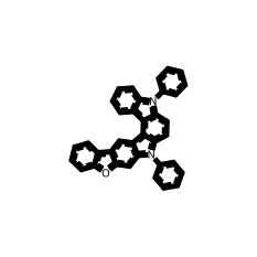 c1ccc(-n2c3ccccc3c3c4c5cc6c(cc5n(-c5ccccc5)c4ccc32)oc2ccccc26)cc1